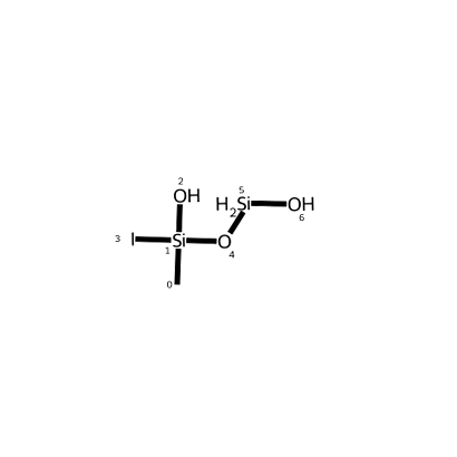 C[Si](O)(I)O[SiH2]O